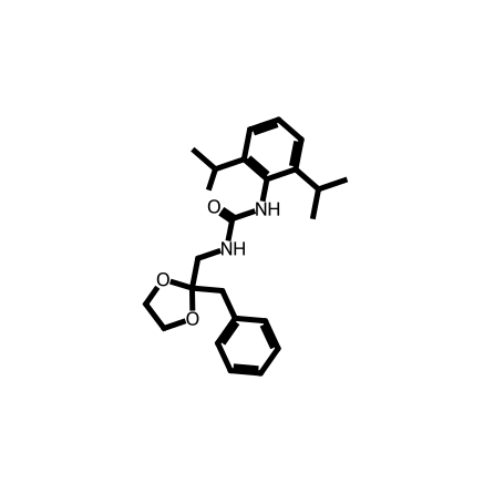 CC(C)c1cccc(C(C)C)c1NC(=O)NCC1(Cc2ccccc2)OCCO1